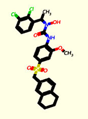 COc1cc(S(=O)(=O)Cc2ccc3c(c2)CCCC3)ccc1NC(=O)N(O)C(C)c1cccc(Cl)c1Cl